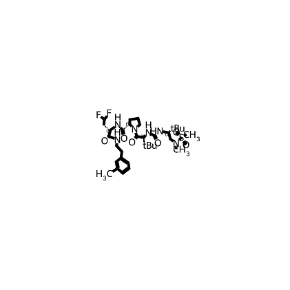 Cc1cccc(CCNC(=O)[C@H](CC(F)F)NC(=O)[C@@H]2CCCN2C(=O)[C@@H](NC(=O)N[C@H](CN(C)S(C)(=O)=O)C(C)(C)C)C(C)(C)C)c1